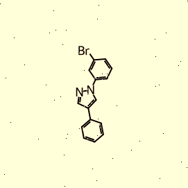 Brc1cccc(-n2cc(-c3ccccc3)cn2)c1